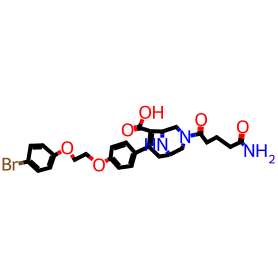 NC(=O)CCCC(=O)N1CC2CC(c3ccc(OCCOc4ccc(Br)cc4)cc3)=C(C(=O)O)C(C1)N2